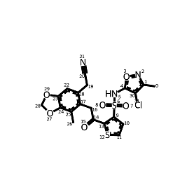 Cc1noc(NS(=O)(=O)c2ccsc2C(=O)Cc2c(CC#N)cc3c(c2C)OCO3)c1Cl